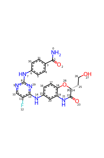 NC(=O)c1ccc(Nc2ncc(F)c(Nc3ccc4c(c3)NC(=O)[C@@H](CCO)O4)n2)cc1